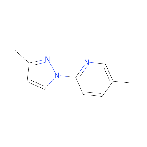 Cc1ccc(-n2ccc(C)n2)nc1